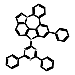 c1ccc(-c2cc3c4ccccc4n4ccc5ccc6c(c3c(c2)n6-c2nc(-c3ccccc3)nc(-c3ccccc3)n2)c54)cc1